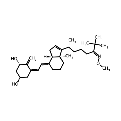 C=C1/C(=C\C=C2/CCC[C@]3(C)C([C@H](C)CCC/C(=N\OC)C(C)(C)C)=CC[C@@H]23)C[C@@H](O)C[C@@H]1O